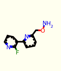 NOCc1cccc(-c2cccnc2F)n1